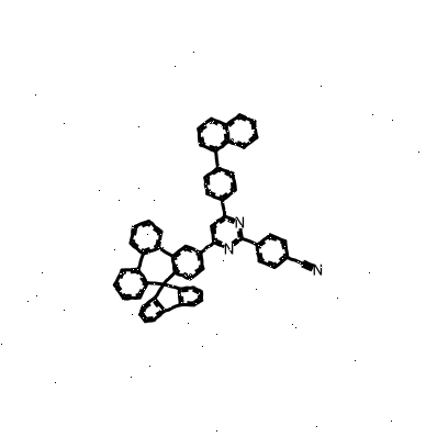 N#Cc1ccc(-c2nc(-c3ccc(-c4cccc5ccccc45)cc3)cc(-c3ccc4c(c3)-c3ccccc3-c3ccccc3C43c4ccccc4-c4ccccc43)n2)cc1